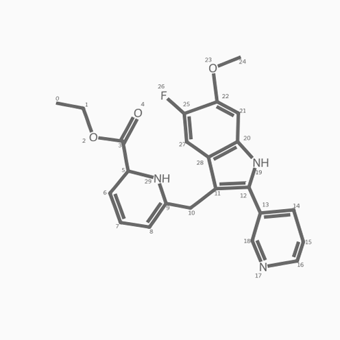 CCOC(=O)C1C=CC=C(Cc2c(-c3cccnc3)[nH]c3cc(OC)c(F)cc23)N1